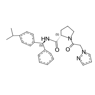 CC(C)c1ccc([C@@H](NC(=O)[C@@H]2CCCN2C(=O)Cn2cccn2)c2ccccc2)cc1